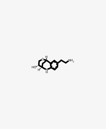 NCCc1ccc2c(c1)[C@H]1C[C@@H](N2)[C@H](O)CO1